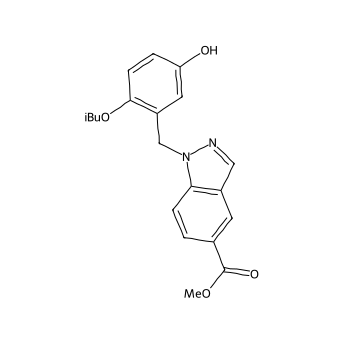 COC(=O)c1ccc2c(cnn2Cc2cc(O)ccc2OCC(C)C)c1